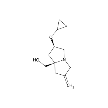 C=C1CN2C[C@H](OC3CC3)C[C@@]2(CO)C1